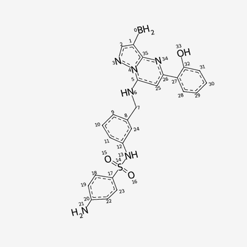 Bc1cnn2c(NCc3cccc(NS(=O)(=O)c4ccc(N)cc4)c3)cc(-c3ccccc3O)nc12